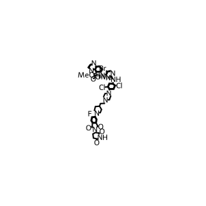 COP(=O)(OC)c1c(Nc2nc(Nc3cc(Cl)c(N4CCN(CCC5CCN(c6cc7c(cc6F)C(=O)N(C6CCC(=O)NC6=O)C7=O)CC5)CC4)cc3Cl)ncc2Br)ccc2nccnc12